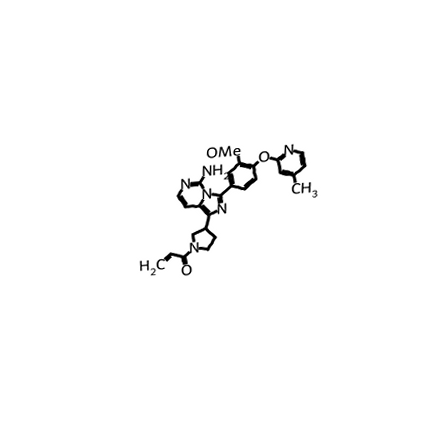 C=CC(=O)N1CCC(c2nc(-c3ccc(Oc4cc(C)ccn4)c(OC)c3)n3c(N)nccc23)C1